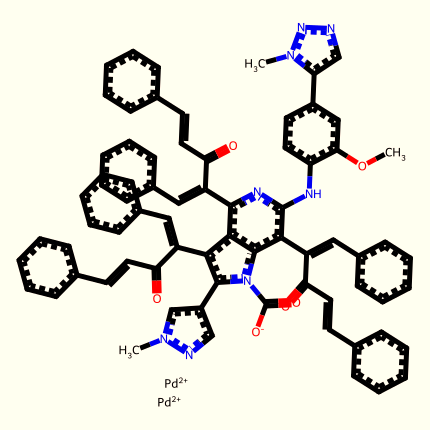 COc1cc(-c2cnnn2C)ccc1Nc1nc(C(=Cc2ccccc2)C(=O)C=Cc2ccccc2)c2c(C(=Cc3ccccc3)C(=O)C=Cc3ccccc3)c(-c3cnn(C)c3)n(C(=O)[O-])c2c1C(=Cc1ccccc1)C(=O)C=Cc1ccccc1.[Pd+2].[Pd+2]